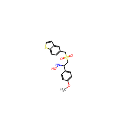 COc1ccc(C(CS(=O)(=O)Cc2ccc3sccc3c2)NO)cc1